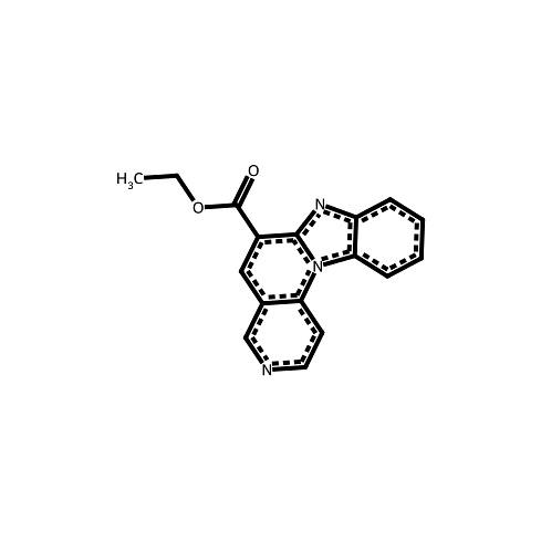 CCOC(=O)c1cc2cnccc2n2c1nc1ccccc12